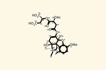 COc1ccc(C)c2c1O[C@H]1C(OC(=O)C[C@H](OC(C)=O)C(=O)O[C@@H](CC(=O)O)C(=O)O)=CC[C@@]3(O)[C@@H](C)N(C)CC[C@]213